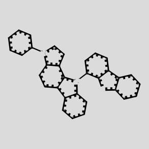 c1ccc(-n2ccc3c2ccc2c4ccccc4n(-c4cccc5c4sc4ccccc45)c23)cc1